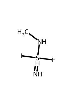 CN[SH](=N)(F)I